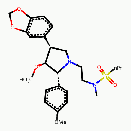 CCCS(=O)(=O)N(C)CCN1C[C@H](c2ccc3c(c2)OCO3)[C@H](OC(=O)O)[C@H]1c1ccc(OC)cc1